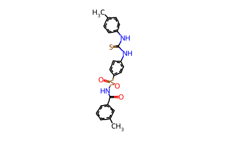 Cc1ccc(NC(=S)Nc2ccc(S(=O)(=O)NC(=O)c3cccc(C)c3)cc2)cc1